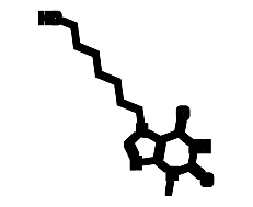 Cn1c(=O)[nH]c(=O)c2c1ncn2CCCCCCCO